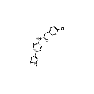 Cn1cc(-c2ccc(NC(=O)Cc3ccc(Cl)cc3)nc2)cn1